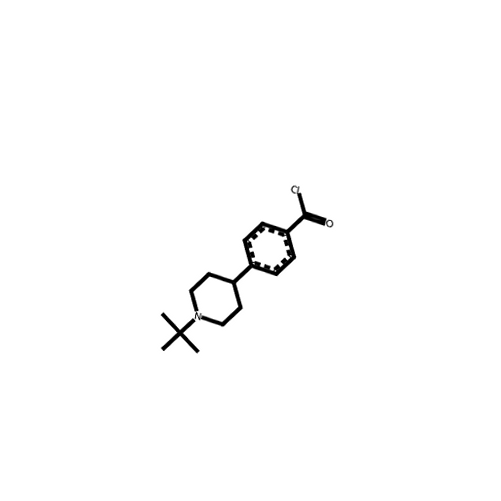 CC(C)(C)N1CCC(c2ccc(C(=O)Cl)cc2)CC1